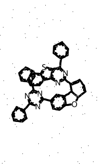 C1=CC2Oc3ccc(-c4nc(-c5ccccc5)nc(-c5ccccc5)n4)cc3C2C(c2nc(-c3ccccc3)c3sc4ccccc4c3n2)=C1